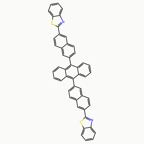 c1ccc2sc(-c3ccc4cc(-c5c6ccccc6c(-c6ccc7cc(-c8nc9ccccc9s8)ccc7c6)c6ccccc56)ccc4c3)nc2c1